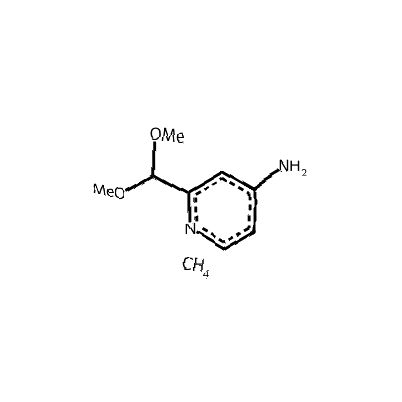 C.COC(OC)c1cc(N)ccn1